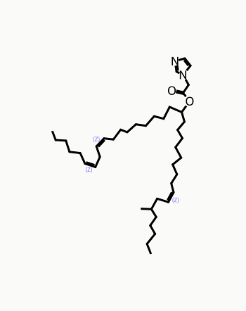 CCCCC/C=C\C/C=C\CCCCCCCCC(CCCCCCCC/C=C\CC(C)CCCCC)OC(=O)Cn1ccnc1